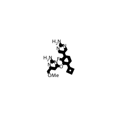 COCc1cc(Oc2c(C3CCC3)ccc(-c3cnc(N)nc3)c2F)nc(N)n1